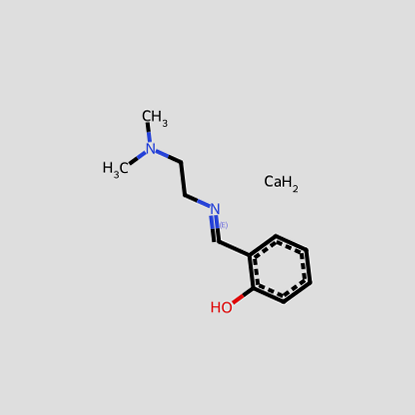 CN(C)CC/N=C/c1ccccc1O.[CaH2]